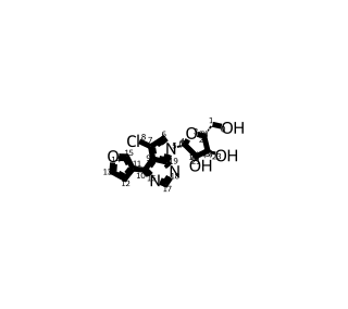 OC[C@H]1O[C@@H](n2cc(Cl)c3c(-c4ccoc4)ncnc32)[C@H](O)[C@@H]1O